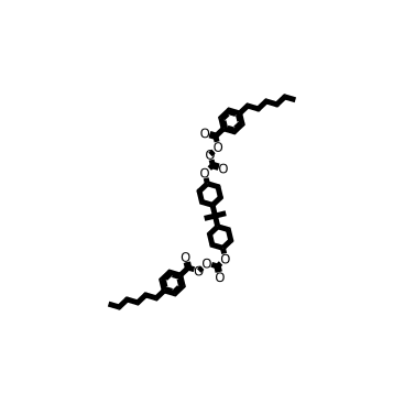 CCCCCCc1ccc(C(=O)OOC(=O)OC2CCC(C(C)(C)C3CCC(OC(=O)OOC(=O)c4ccc(CCCCCC)cc4)CC3)CC2)cc1